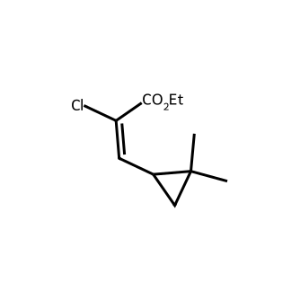 CCOC(=O)/C(Cl)=C\C1CC1(C)C